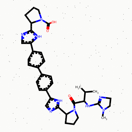 CC(C)C(NC1=NCCN1C)C(=O)N1CCCC1c1ncc(-c2ccc(-c3ccc(-c4cnc(C5CCCN5C(=O)O)[nH]4)cc3)cc2)[nH]1